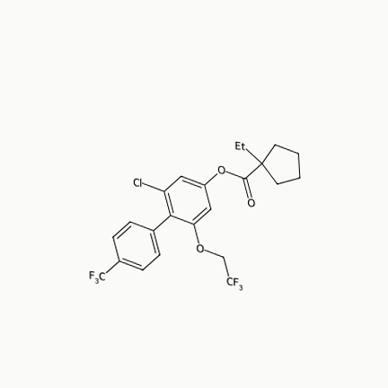 CCC1(C(=O)Oc2cc(Cl)c(-c3ccc(C(F)(F)F)cc3)c(OCC(F)(F)F)c2)CCCC1